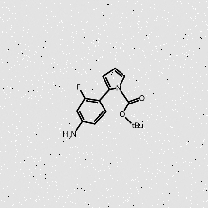 CC(C)(C)OC(=O)n1cccc1-c1ccc(N)cc1F